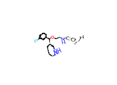 O=C(O)NCCOC(c1cccc(F)c1)[C@@H]1CCCNC1